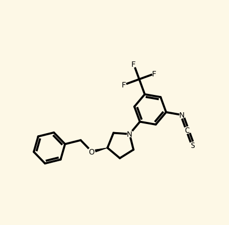 FC(F)(F)c1cc(N=C=S)cc(N2CC[C@@H](OCc3ccccc3)C2)c1